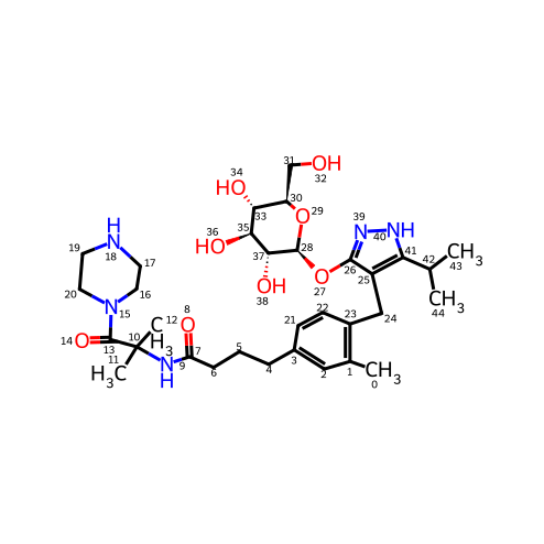 Cc1cc(CCCC(=O)NC(C)(C)C(=O)N2CCNCC2)ccc1Cc1c(O[C@@H]2O[C@H](CO)[C@@H](O)[C@H](O)[C@H]2O)n[nH]c1C(C)C